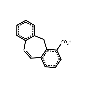 O=C(O)c1cccc2c1Cc1ccccc1N=C2